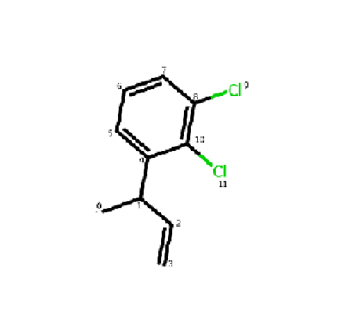 [CH2]C(C=C)c1cccc(Cl)c1Cl